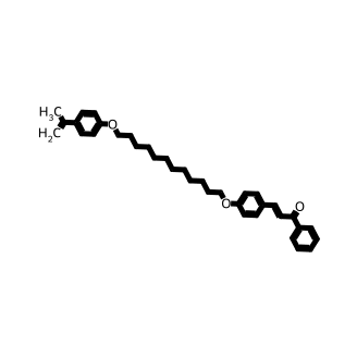 C=C(C)c1ccc(OCCCCCCCCCCCCOc2ccc(C=CC(=O)c3ccccc3)cc2)cc1